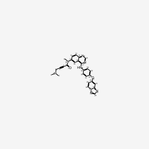 CN(C)CC#CC(=O)N(C)c1ccc2ncnc(Nc3ccc(Oc4ccn5ncnc5c4)cc3)c2c1